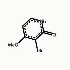 COc1cc[nH]c(=O)c1C(C)(C)C